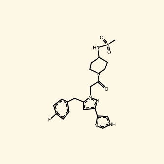 CS(=O)(=O)NC1CCN(C(=O)Cn2nc(-c3c[nH]cn3)cc2Cc2ccc(F)cc2)CC1